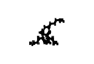 CCCCOC[C@H]1C[C@]1(C(=O)OCC)C(=O)N(C)OC